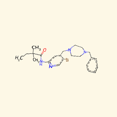 CCC(C)(C)C(=O)Nc1cc(CN2CCN(Cc3ccccc3)CC2)c(Br)cn1